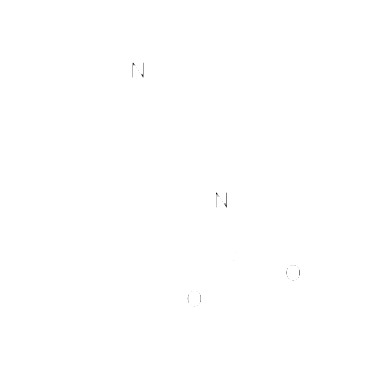 COC(=O)N1CC2CCN(C)C2C1